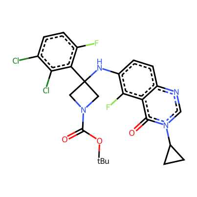 CC(C)(C)OC(=O)N1CC(Nc2ccc3ncn(C4CC4)c(=O)c3c2F)(c2c(F)ccc(Cl)c2Cl)C1